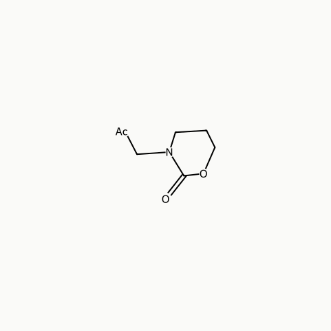 CC(=O)CN1CCCOC1=O